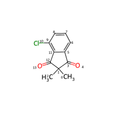 CC1(C)C(=O)c2cccc(Cl)c2C1=O